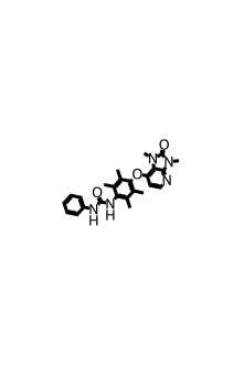 Cc1c(C)c(Oc2ccnc3c2n(C)c(=O)n3C)c(C)c(C)c1NC(=O)Nc1ccccc1